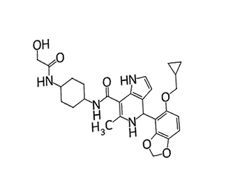 CC1=C(C(=O)NC2CCC(NC(=O)CO)CC2)c2[nH]ccc2C(c2c(OCC3CC3)ccc3c2OCO3)N1